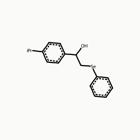 CC(C)c1ccc(C(O)C[Se]c2ccccc2)cc1